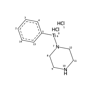 Cl.Cl.c1cc[c]([Ti][N]2CCNCC2)cc1